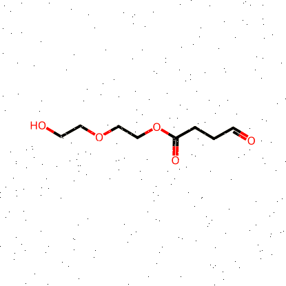 O=CCCC(=O)OCCOCCO